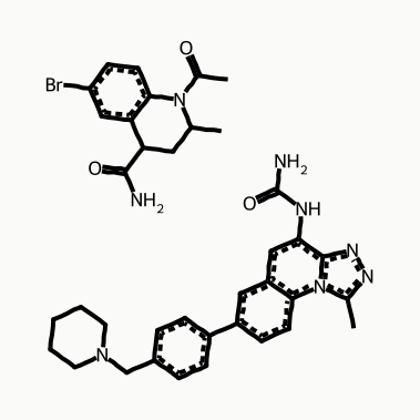 CC(=O)N1c2ccc(Br)cc2C(C(N)=O)CC1C.Cc1nnc2c(NC(N)=O)cc3cc(-c4ccc(CN5CCCCC5)cc4)ccc3n12